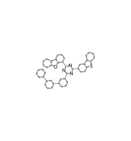 c1ccc(-c2cccc(-c3cccc(-c4nc(-c5ccc6sc7ccccc7c6c5)nc(-c5cccc6c5oc5ccccc56)n4)c3)c2)cc1